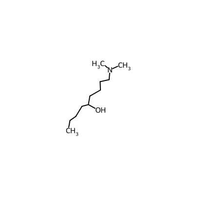 CCCCC(O)CCCCN(C)C